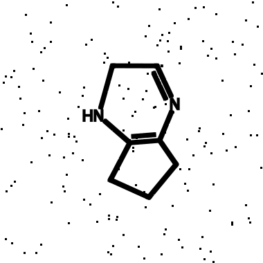 [C]1=NC2=C(CCC2)NC1